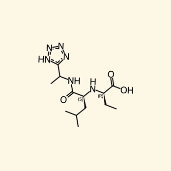 CC[C@@H](N[C@@H](CC(C)C)C(=O)NC(C)c1nnn[nH]1)C(=O)O